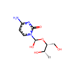 CC[C@H](O)[C@@H](CO)O[C@@H](O)n1ccc(N)nc1=O